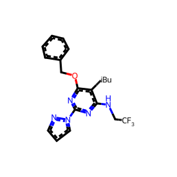 CCC(C)c1c(NCC(F)(F)F)nc(-n2cccn2)nc1OCc1ccccc1